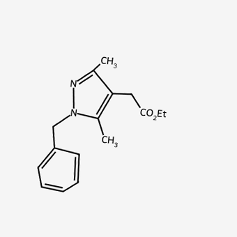 CCOC(=O)Cc1c(C)nn(Cc2ccccc2)c1C